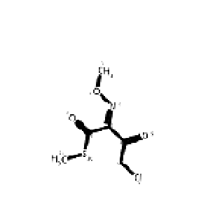 CO/N=C(/C(=O)CCl)C(=O)SC